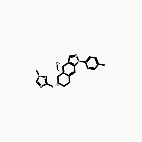 Cn1cnc(S[C@H]2CCC3=Cc4c(cnn4-c4ccc(F)cc4)C[C@]3(CO)C2)n1